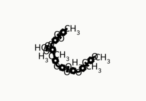 COc1ccc(C(C)(C)c2ccc(Oc3ccc(S(=O)(=O)c4ccc(Oc5ccc(C(C)(C)c6ccc(Oc7ccc(S(=O)(=O)c8ccc(C)cc8)cc7)c(S(=O)(=O)O)c6)cc5)cc4)cc3)cc2)cc1